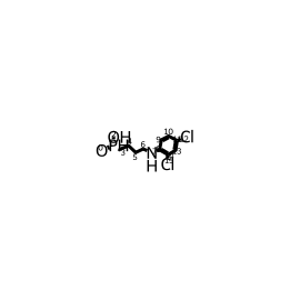 O=[PH](O)CCCCNc1ccc(Cl)cc1Cl